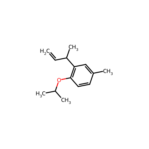 C=C[C](C)c1cc(C)ccc1OC(C)C